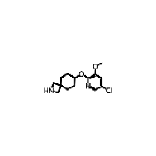 COc1cc(Cl)cnc1OC1CCC2(CC1)CNC2